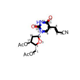 CC(=O)OC[C@H]1O[C@@H](n2cc(/C=C/C#N)c(=O)[nH]c2=O)C[C@@H]1OC(C)=O